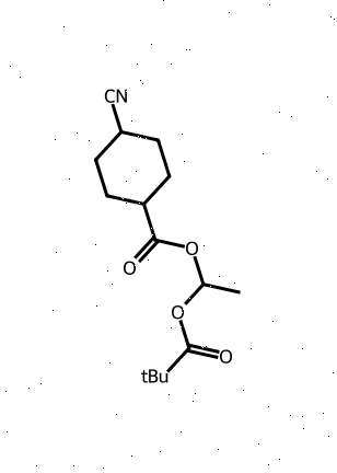 CC(OC(=O)C1CCC(C#N)CC1)OC(=O)C(C)(C)C